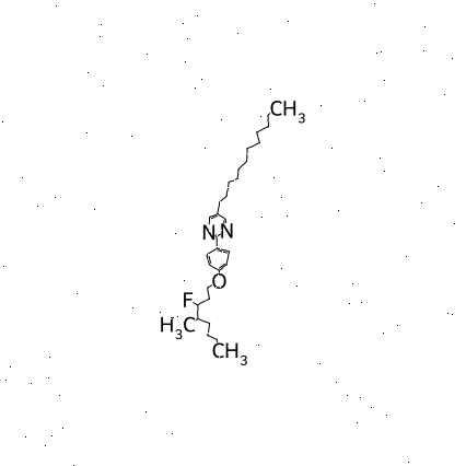 CCCCCCCCCCCCc1cnc(-c2ccc(OCCC(F)C(C)CCCC)cc2)nc1